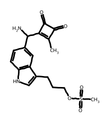 Cc1c(C(N)c2ccc3[nH]cc(CCCOS(C)(=O)=O)c3c2)c(=O)c1=O